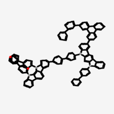 c1ccc(-c2ccc(-n3c4ccccc4c4cc5c6cc(-c7ccc8c9ccccc9c9ccc(-c%10cccc(-c%11ccccc%11)c%10)cc9c8c7)ccc6n(-c6ccc(-c7ccc(-c8ccc9c(c8)c8ccc%10c%11ccccc%11n(-c%11ccc(-c%12ccccc%12)cc%11)c%10c8n9-c8ccc(-c9ccccc9)cc8)cc7)cc6)c5cc43)cc2)cc1